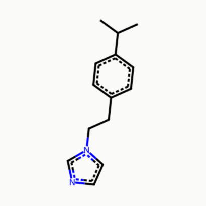 CC(C)c1ccc(CCn2ccnc2)cc1